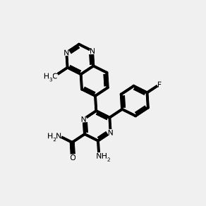 Cc1ncnc2ccc(-c3nc(C(N)=O)c(N)nc3-c3ccc(F)cc3)cc12